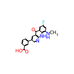 CNc1cc(F)cc2c(=O)c3cc(-c4cccc(C(=O)O)c4)cnc3[nH]c12